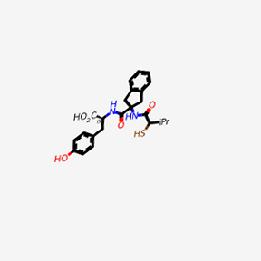 CC(C)C(S)C(=O)NC1(C(=O)N[C@@H](Cc2ccc(O)cc2)C(=O)O)Cc2ccccc2C1